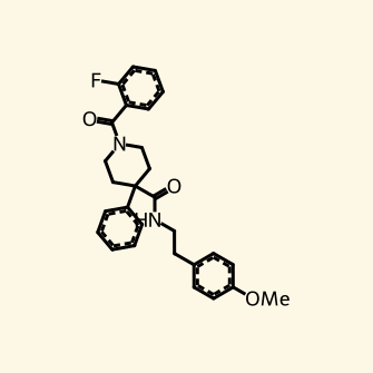 COc1ccc(CCNC(=O)C2(c3ccccc3)CCN(C(=O)c3ccccc3F)CC2)cc1